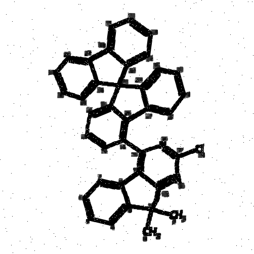 CC1(C)c2ccccc2-c2c(-c3cccc4c3-c3ccccc3C43c4ccccc4-c4ccccc43)nc(Cl)nc21